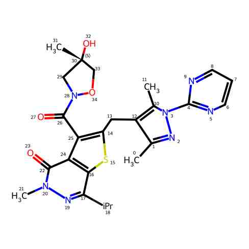 Cc1nn(-c2ncccn2)c(C)c1Cc1sc2c(C(C)C)nn(C)c(=O)c2c1C(=O)N1C[C@](C)(O)CO1